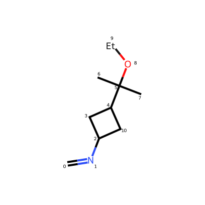 C=NC1CC(C(C)(C)OCC)C1